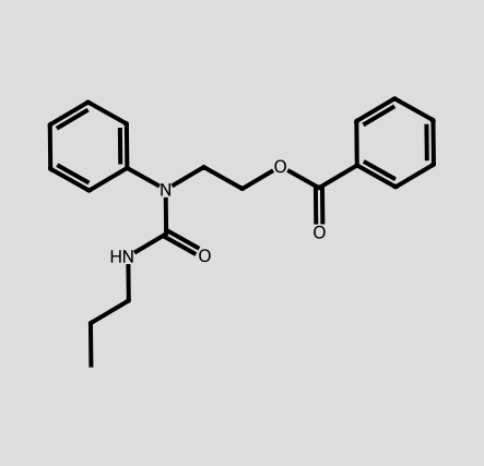 CCCNC(=O)N(CCOC(=O)c1ccccc1)c1ccccc1